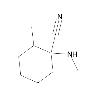 CNC1(C#N)CCCCC1C